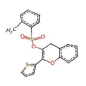 Cc1ccccc1S(=O)(=O)OC1=C(c2cccs2)Oc2ccccc2C1